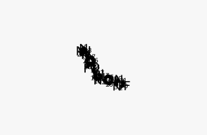 Fc1cnc(N2CCC(n3ncc(COc4ccc(-n5cnnn5)cc4F)n3)CC2)nc1